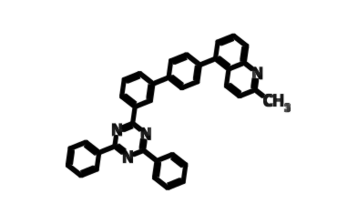 Cc1ccc2c(-c3ccc(-c4cccc(-c5nc(-c6ccccc6)nc(-c6ccccc6)n5)c4)cc3)cccc2n1